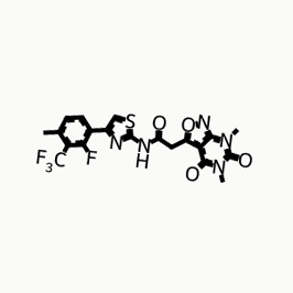 Cc1ccc(-c2csc(NC(=O)Cc3onc4c3c(=O)n(C)c(=O)n4C)n2)c(F)c1C(F)(F)F